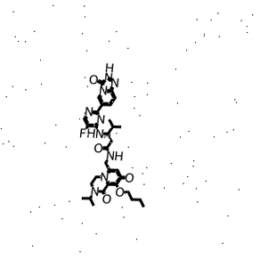 CCCCOc1c2n(c(CNC(=O)C[C@@H](Nc3nc(-c4ccc5n[nH]c(=O)n5c4)ncc3F)C(C)C)cc1=O)CCN(C(C)C)C2=O